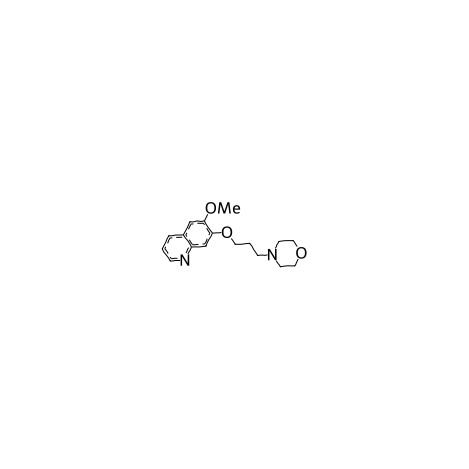 COc1cc2cccnc2cc1OCCCN1CCOCC1